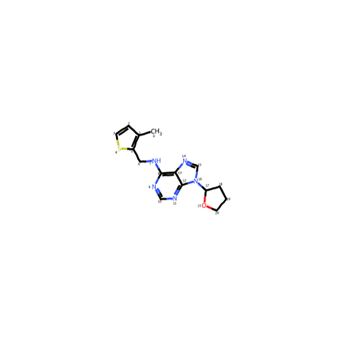 Cc1ccsc1CNc1ncnc2c1ncn2C1CCCO1